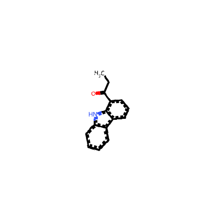 CCC(=O)c1cccc2c1[nH]c1ccccc12